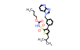 CCCCOC(=O)NS(=O)(=O)c1sc(CC(C)C)cc1-c1cccc(Cn2cnc3ncccc32)c1